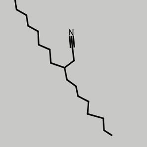 CCCCCCCCC(CC#N)CCCCCCCC